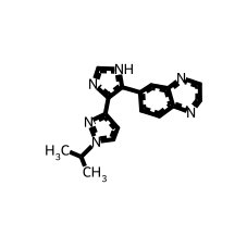 CC(C)n1ccc(-c2nc[nH]c2-c2ccc3nccnc3c2)n1